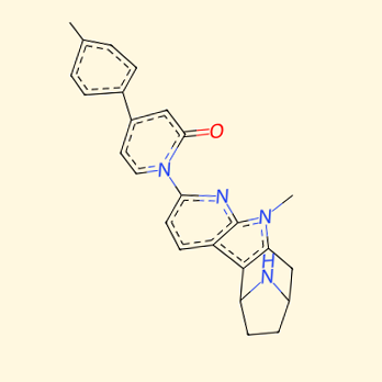 Cc1ccc(-c2ccn(-c3ccc4c5c(n(C)c4n3)CC3CCC5N3)c(=O)c2)cc1